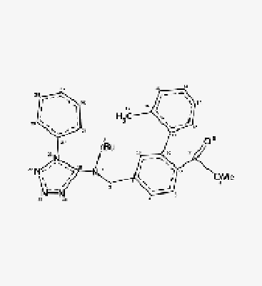 CCCCN(Cc1ccc(C(=O)OC)c(-c2ccccc2C)c1)c1nnnn1-c1ccccc1